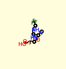 O=C(O)CCSCc1cccc(C(=O)Nc2ccc(N3CCCCC3)cc2-c2cc(CNCc3cccc(C(F)(F)F)c3)ccn2)c1